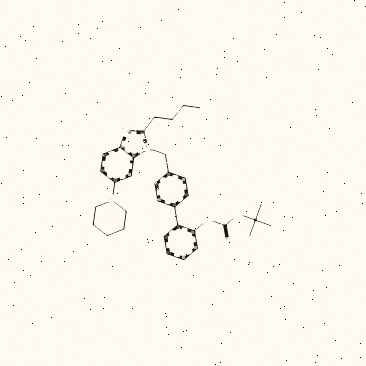 CCCCc1nc2ccc(N3CCCCC3)cc2n1Cc1ccc(-c2ccccc2OC(=O)OC(C)(C)C)cc1